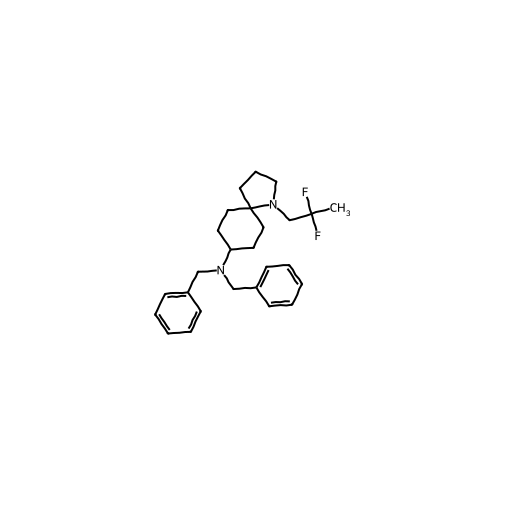 CC(F)(F)CN1CCCC12CCC(N(Cc1ccccc1)Cc1ccccc1)CC2